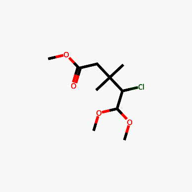 COC(=O)CC(C)(C)C(Cl)C(OC)OC